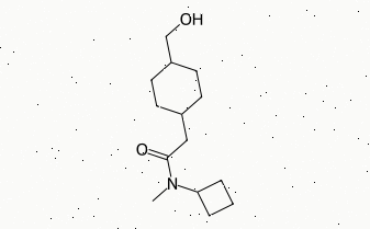 CN(C(=O)CC1CCC(CO)CC1)C1CCC1